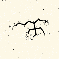 CCCCC(CC)C(CC)(CC)CC